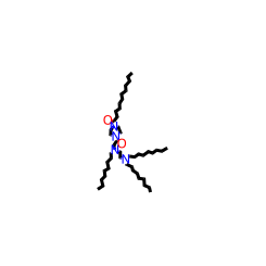 CCCCCCCCCCCC(=O)N1CCN(C(=O)CN(CCCCCCCCC)CCN(CCCCCCCCC)CCCCCCCCC)CC1